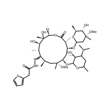 CC[C@H]1OC(=O)[C@H](C)[C@@H](OC2C[C@@](C)(OC)[C@@H](O)[C@H](C)O2)[C@H](C)[C@@H](OC2OC(C)CC(N(C)C)C2O)[C@](C)(OC)C[C@@H](C)/C(=N\NC(=O)Cc2cccs2)[C@H](C)[C@@H](O)[C@]1(C)O